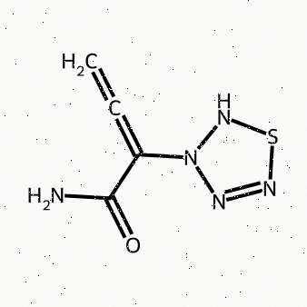 C=C=C(C(N)=O)N1N=NSN1